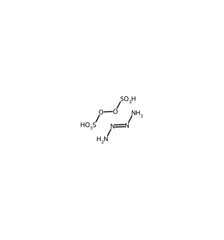 NN=NN.O=S(=O)(O)OOS(=O)(=O)O